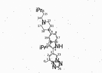 Cc1cc(-c2[nH]c3ccc(C4CCN(CCC(C)C)CC4)cc3c2C(C)C)cn2ncnc12